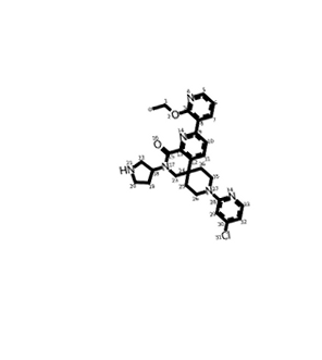 CCOc1ncccc1-c1ccc2c(n1)C(=O)N(C1CCNC1)CC21CCN(c2cc(Cl)ccn2)CC1